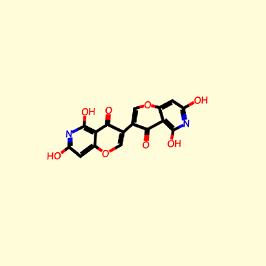 O=c1c(-c2coc3cc(O)nc(O)c3c2=O)coc2cc(O)nc(O)c12